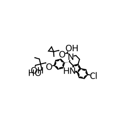 CCC(CO)(CO)COc1ccc([C@H]2c3[nH]c4ccc(Cl)cc4c3CCN2C(O)OCC2(C)CC2)cc1